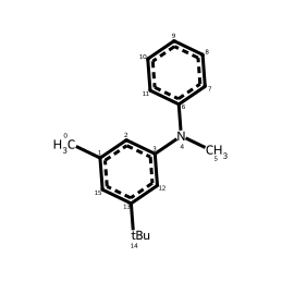 Cc1cc(N(C)c2ccccc2)cc(C(C)(C)C)c1